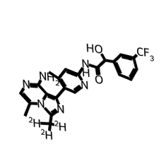 [2H]C([2H])([2H])c1nc(-c2cnc(NC(=O)C(O)c3cccc(C(F)(F)F)c3)cc2C)c2c(N)ncc(C)n12